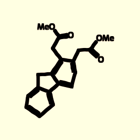 COC(=O)Cc1ccc2c(c1CC(=O)OC)Cc1ccccc1-2